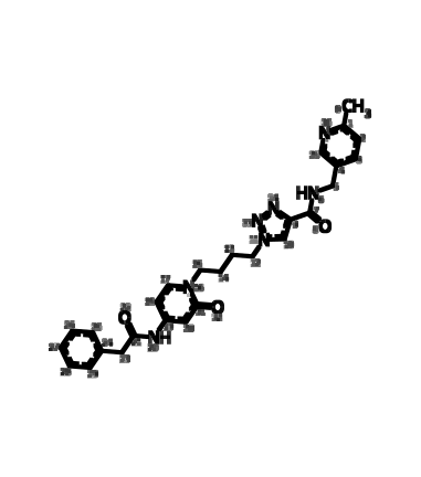 Cc1ccc(CNC(=O)c2cn(CCCCn3ccc(NC(=O)Cc4ccccc4)cc3=O)nn2)cn1